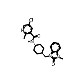 Cc1ncc(Cl)cc1C(=O)N[C@H]1CC[C@H](Cn2c(=O)n(C)c3ccccc32)CC1